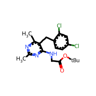 Cc1nc(C)c(Cc2ccc(Cl)cc2Cl)c(NCC(=O)OC(C)(C)C)n1